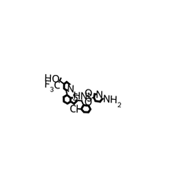 CC(O)(c1ccnc(-c2cccc3cc([C@H](NS(=O)(=O)c4ccc(N)nc4)c4ccccc4Cl)sc23)c1)C(F)(F)F